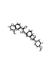 COC1CCN(c2nc3cc(NC(=O)c4ccc5c(c4)N(C)CCO5)ccc3o2)CC1